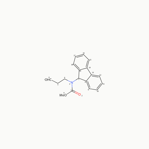 COC(=O)N(CC[C]=O)C1c2ccccc2-c2ccccc21